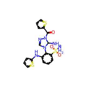 NC1N(C(=O)c2cccs2)N=CN1c1c(Nc2cccs2)cccc1S(N)(=O)=O